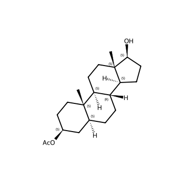 CC(=O)O[C@H]1CC[C@@]2(C)[C@@H](CC[C@@H]3[C@@H]2CC[C@]2(C)[C@@H](O)CC[C@@H]32)C1